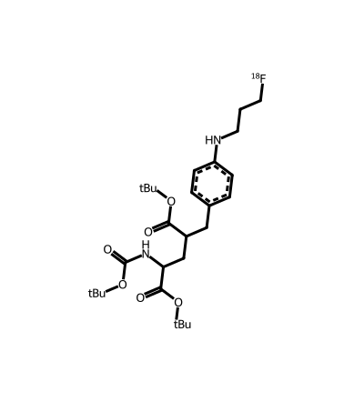 CC(C)(C)OC(=O)NC(CC(Cc1ccc(NCCC[18F])cc1)C(=O)OC(C)(C)C)C(=O)OC(C)(C)C